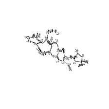 Cc1nc2nonc2c(N)c1Cc1ccc(C#N)c(N2CCC(F)(F)C2)n1